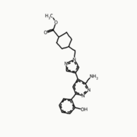 COC(=O)C1CCC(Cn2cc(-c3cc(-c4ccccc4O)nnc3N)cn2)CC1